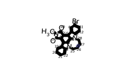 CN1C(=O)c2c(c3c4cc(Br)ccc4n4c3c3c2c2ccccc2n3C/C=C\C4)C1=O